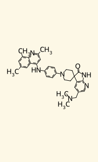 Cc1cc(C)c2nc(C)cc(Nc3ccc(N4CCC5(CC4)C(=O)Nc4ncc(CN(C)C)cc45)cc3)c2c1